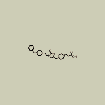 O=C(O)CCN1CCN(CC2CN(CCC3CCN(Cc4ccccc4)CC3)C(=O)O2)CC1